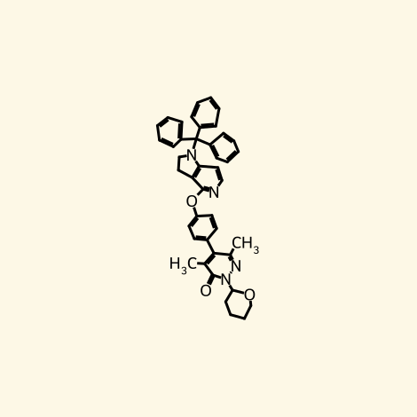 Cc1nn(C2CCCCO2)c(=O)c(C)c1-c1ccc(Oc2nccc3c2CCN3C(c2ccccc2)(c2ccccc2)c2ccccc2)cc1